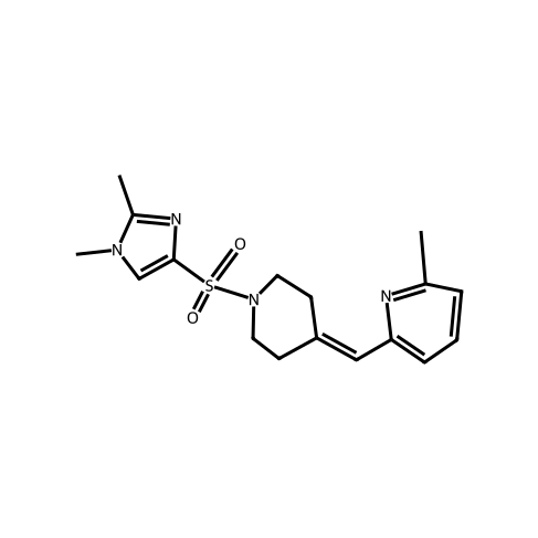 Cc1cccc(C=C2CCN(S(=O)(=O)c3cn(C)c(C)n3)CC2)n1